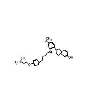 COc1ccc(C2CCc3cc(O)ccc3C2)c(NCCCCc2ccc(OCCN(C)C)cc2)c1